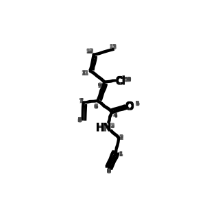 C#CCNC(=O)/C(C=C)=C(Cl)/C=C\C